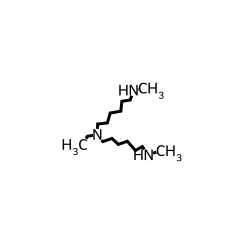 CCN(CCCCCCNC)CCCCCCNC